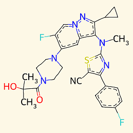 CN(c1nc(-c2ccc(F)cc2)c(C#N)s1)c1c(C2CC2)nn2cc(F)c(N3CCN(C(=O)C(C)(C)O)CC3)cc12